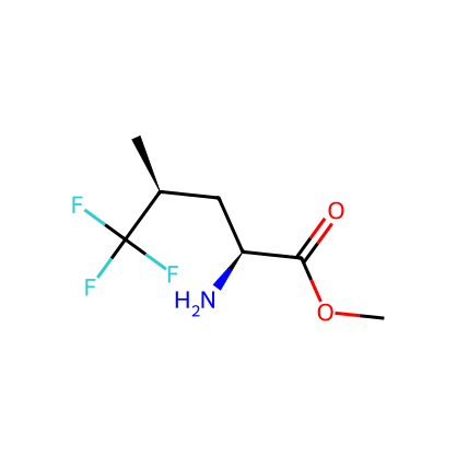 COC(=O)[C@@H](N)C[C@H](C)C(F)(F)F